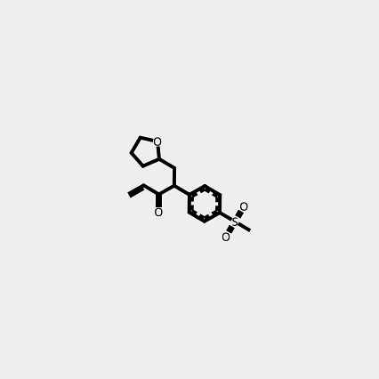 C=CC(=O)C(CC1CCCO1)c1ccc(S(C)(=O)=O)cc1